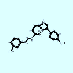 Oc1ccc(-c2cnc3ccc(OCCc4cccc(Cl)c4)nn23)cc1